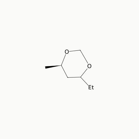 CCC1C[C@@H](C)OCO1